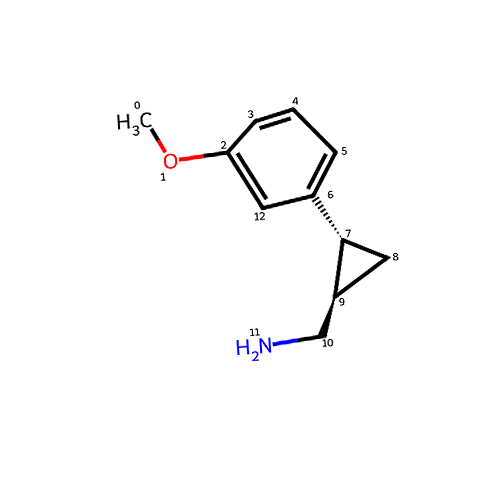 COc1cccc([C@@H]2C[C@H]2CN)c1